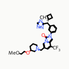 COCCOC1CCCN(Cc2cc(C(F)(F)F)c3cn(-c4cccc([C@H](c5nncn5C)C5CCC5)c4)c(=O)n3c2)C1